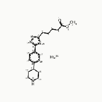 COC(=O)CCCCc1nnc(-c2ccc(C3CCNCC3)cc2)s1.Cl